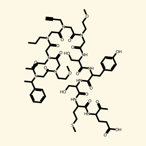 C#CCN(CC(=O)N(CCOC)CC(=O)NC(CO)C(=O)NC(Cc1ccc(O)cc1)C(=O)NC(CO)C(=O)NC(CCSC)C(=O)NC(CCC(=O)O)C(C)=O)C(=O)CN(CCC)C(=O)CN(CC=C)C(=O)CN(CCOC)C(=O)CN(C(C)=O)C(C)c1ccccc1